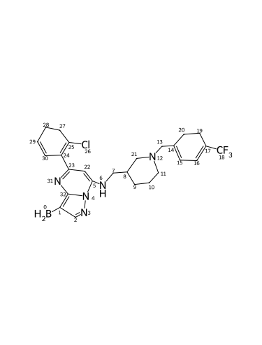 Bc1cnn2c(NCC3CCCN(CC4=CC=C(C(F)(F)F)CC4)C3)cc(C3=C(Cl)CCC=C3)nc12